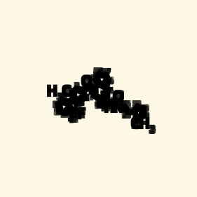 Cc1cc(C(=O)N2Cc3ccc(C(=O)NCCC4CCCN4C)n3Cc3ccccc32)ccc1-c1ccccc1C(F)(F)F